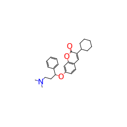 CN(C)CCC(Oc1ccc2cc(C3CCCCC3)c(=O)oc2c1)c1ccccc1